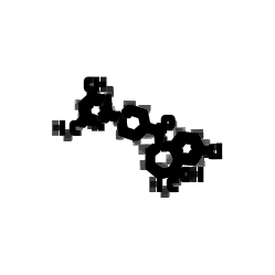 Cc1cc(C)nc(N2CCC(C(=O)N3CCCC(C)(O)c4cc(Cl)ccc43)CC2)n1